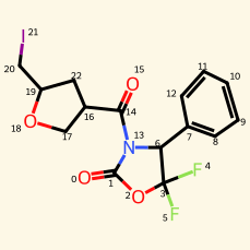 O=C1OC(F)(F)C(c2ccccc2)N1C(=O)C1COC(CI)C1